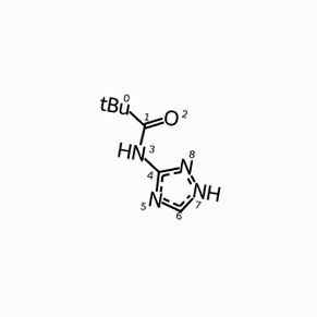 CC(C)(C)C(=O)Nc1nc[nH]n1